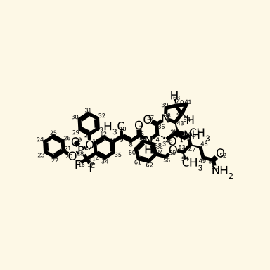 CCCC[C@H](NC(=O)/C=C(\C)c1ccc(C(F)(F)P(=O)(Oc2ccccc2)Oc2ccccc2)cc1)C(=O)N1C[C@H]2C[C@H]2[C@H]1C(=O)N[C@@H](CCC(N)=O)[C@@H](C)OCc1ccccc1